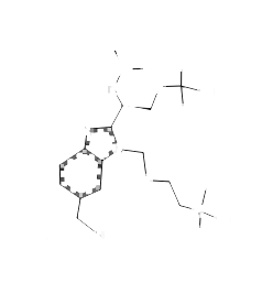 C[C@@H](N)c1ccc2nc([C@H](COC(C)(C)C(F)(F)F)N[S@+]([O-])C(C)(C)C)n(COCC[Si](C)(C)C)c2c1